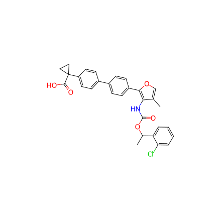 Cc1coc(-c2ccc(-c3ccc(C4(C(=O)O)CC4)cc3)cc2)c1NC(=O)OC(C)c1ccccc1Cl